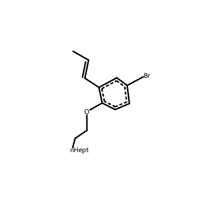 CC=Cc1cc(Br)ccc1OCCCCCCCCC